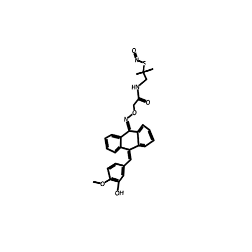 COc1ccc(C=C2c3ccccc3C(=NOCC(=O)NCC(C)(C)SN=O)c3ccccc32)cc1O